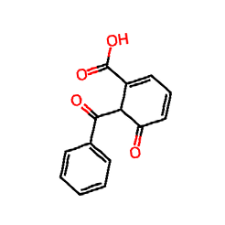 O=C(O)C1=CC=CC(=O)C1C(=O)c1ccccc1